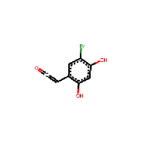 O=C=Cc1cc(Br)c(O)cc1O